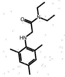 CCN(CC)C(=O)CNc1c(C)cc(C)cc1C